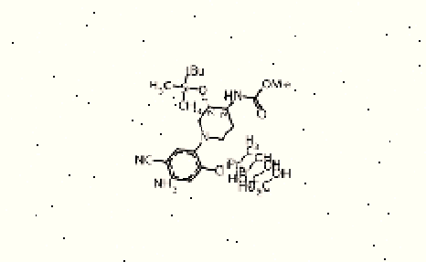 CC(C)C.CC(C)C.COC(=O)N[C@H]1CCN(c2cc(C#N)ccc2Cl)C[C@@H]1O[Si](C)(C)C(C)(C)C.N.O=C(O)O.O=C(O)O